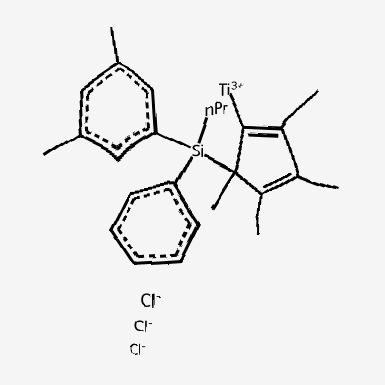 CCC[Si](c1ccccc1)(c1cc(C)cc(C)c1)C1(C)C(C)=C(C)C(C)=[C]1[Ti+3].[Cl-].[Cl-].[Cl-]